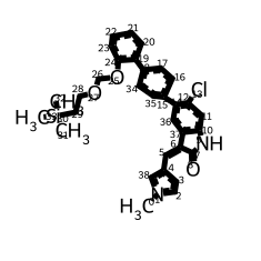 Cn1ccc(/C=C2\C(=O)Nc3cc(Cl)c(-c4ccc(-c5ccccc5OCOCC[Si](C)(C)C)cc4)cc32)c1